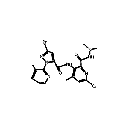 Cc1cccnc1-n1nc(Br)cc1C(=O)Nc1c(C)cc(Cl)nc1C(=O)NN(C)C